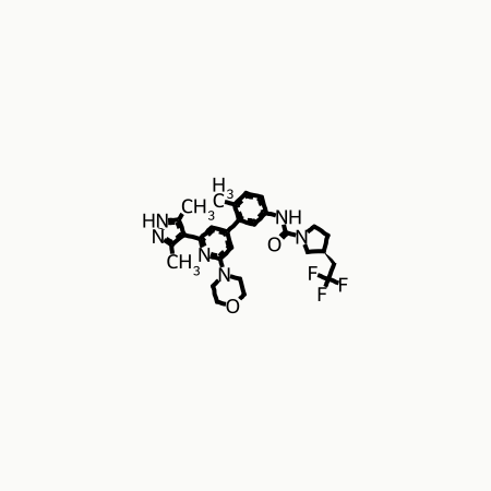 Cc1ccc(NC(=O)N2CC[C@@H](CC(F)(F)F)C2)cc1-c1cc(-c2c(C)n[nH]c2C)nc(N2CCOCC2)c1